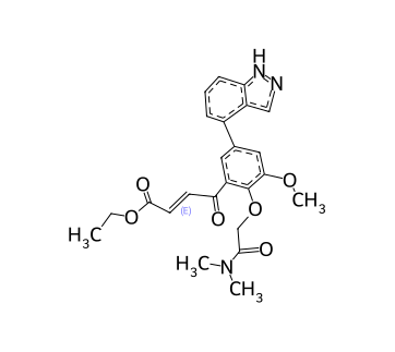 CCOC(=O)/C=C/C(=O)c1cc(-c2cccc3[nH]ncc23)cc(OC)c1OCC(=O)N(C)C